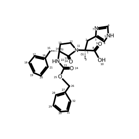 C[C@](Cc1c[nH]cn1)(C(=O)O)N1CC[C@](Cc2ccccc2)(NC(=O)OCc2ccccc2)C1=O